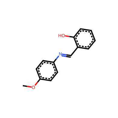 COc1ccc(/N=C/c2ccccc2O)cc1